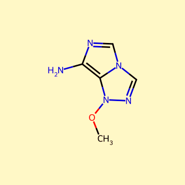 COn1ncn2cnc(N)c12